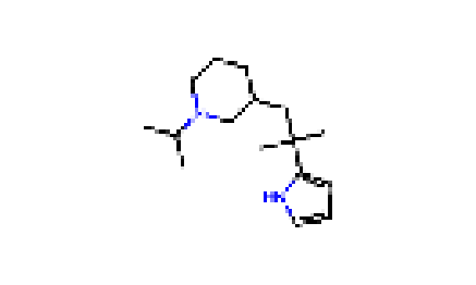 CC(C)N1CCCC(CC(C)(C)c2ccc[nH]2)C1